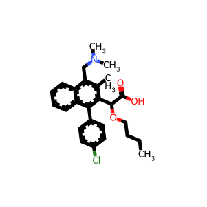 CCCCOC(C(=O)O)c1c(C)c(CN(C)C)c2ccccc2c1-c1ccc(Cl)cc1